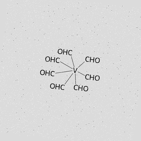 O=[CH][V]([CH]=O)([CH]=O)([CH]=O)([CH]=O)([CH]=O)[CH]=O